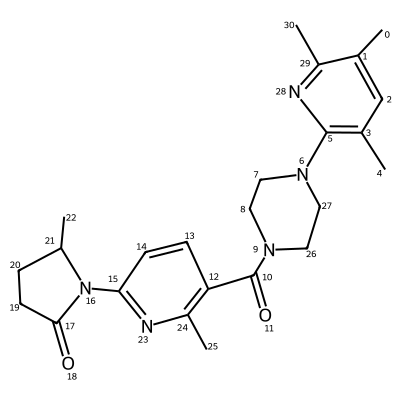 Cc1cc(C)c(N2CCN(C(=O)c3ccc(N4C(=O)CCC4C)nc3C)CC2)nc1C